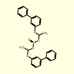 CC(Oc1cccc(-c2ccccc2)c1)OS(=O)OC(C)Oc1cccc(-c2ccccc2)c1